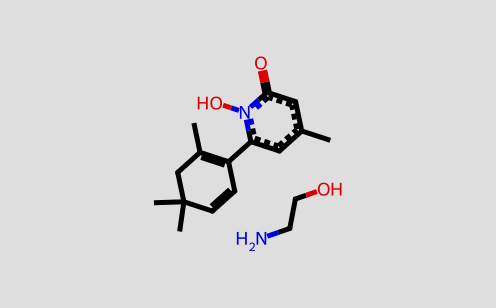 CC1=C(c2cc(C)cc(=O)n2O)C=CC(C)(C)C1.NCCO